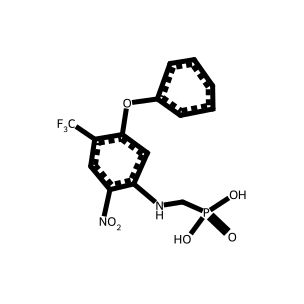 O=[N+]([O-])c1cc(C(F)(F)F)c(Oc2ccccc2)cc1NCP(=O)(O)O